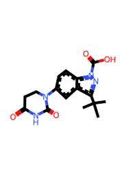 CC(C)(C)c1nn(C(=O)O)c2ccc(N3CCC(=O)NC3=O)cc12